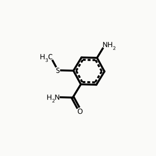 CSc1cc(N)ccc1C(N)=O